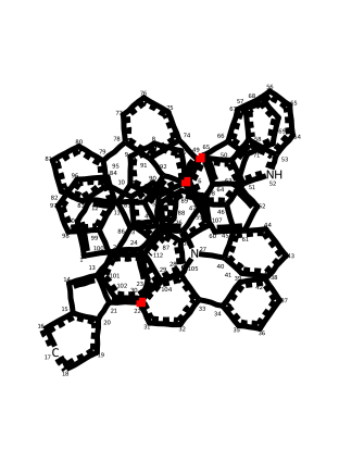 C1=CC2(C3=Cc4ccccc4C3=C1)C1=Cc3ccccc3C1=CC=C2C1=C(N(c2ccccc2-c2ccccc2)c2ccccc2-c2cccc3c2[nH]c2ccccc23)C2(C=CC=C3C2=Cc2ccccc23)C2=Cc3cccc(-c4ccccc4-c4ccccc4)c3C2=C1c1ccccc1-c1cccc2sc3ccccc3c12